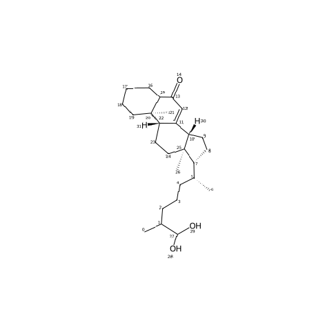 CC(CCC[C@@H](C)[C@H]1CC[C@H]2C3=CC(=O)C4CCCC[C@]4(C)[C@H]3CC[C@]12C)C(O)O